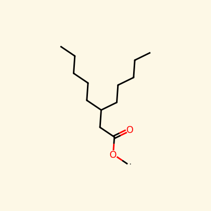 [CH2]OC(=O)CC(CCCCC)CCCCC